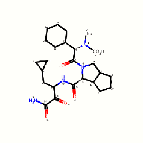 CC(C)(C)N(C(=O)O)[C@H](C(=O)N1CC2CCCC2[C@H]1C(=O)NC(CC1CC1)C(=O)C(N)=O)C1CCCCC1